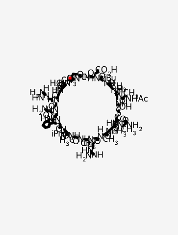 CC[C@@H](C)[C@@H]1NC(=O)[C@H](C)NC(=O)[C@@H](NC(=O)[C@H](C)NC(C)=O)CNC(O)CSC[C@@H](C(=O)N[C@@H](C)C(N)=O)NC(=O)[C@H](C)NC(=O)[C@H](C)NC(=O)[C@H](CCCNC(=N)N)NC(=O)[C@@H](C)NC(=O)[C@@H](C)NC(=O)[C@@H](CC(C)C)NC(=O)[C@H](Cc2c[nH]c3ccccc23)NC(=O)[C@H](CCC(N)=O)NC(=O)[C@H](CCCNC(=N)N)NC(=O)[C@H](CC(C)C)NC(=O)[C@@H]([C@@H](C)O)NC(=O)[C@@H]2CCCN2C(=O)CNC(=O)[C@@H](CCC(=O)O)NC1=O